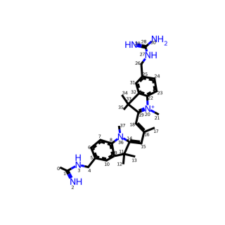 CC(=N)NCc1ccc2c(c1)C(C)(C)C(=CC(C)=CC1=[N+](C)c3ccc(CNC(=N)N)cc3C1(C)C)N2C